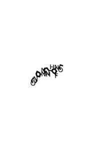 C=CC(=O)Nc1cc(F)cc(-c2ccnc(Nc3cccc(N4CCOCC4)c3)n2)c1